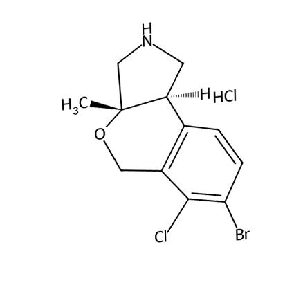 C[C@@]12CNC[C@H]1c1ccc(Br)c(Cl)c1CO2.Cl